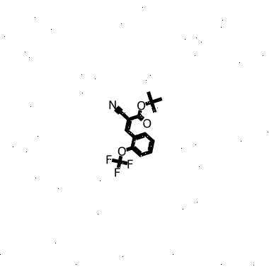 CC(C)(C)OC(=O)C(C#N)=Cc1ccccc1OC(F)(F)F